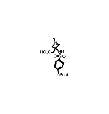 CCCCCc1ccc(S(=O)(=O)NC2(CC(=O)O)CN(C)C2)cc1